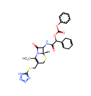 O=C(Oc1ccccc1)OC(C(=O)NC1C(=O)N2C(C(=O)O)=C(CSc3nnn[nH]3)CS[C@@H]12)C1=CCC=CC1